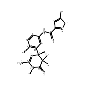 Cc1cc(C(=O)Nc2ccc(F)c([C@@]3(C)N=C(N)N(C)C(=O)C3(C)C)c2)no1